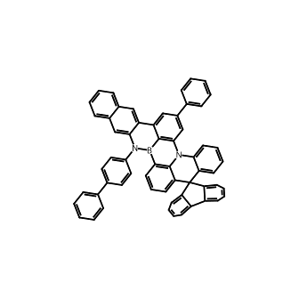 c1ccc(-c2ccc(N3B4c5cccc6c5N(c5ccccc5C65c6ccccc6-c6ccccc65)c5cc(-c6ccccc6)cc(c54)-c4cc5ccccc5cc43)cc2)cc1